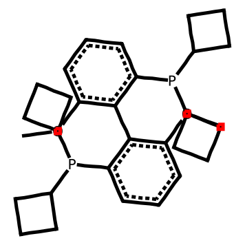 COc1cccc(P(C2CCC2)C2CCC2)c1-c1c(OC)cccc1P(C1CCC1)C1CCC1